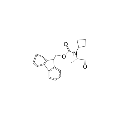 C[C@@H](C=O)N(C(=O)OCC1c2ccccc2-c2ccccc21)C1CCC1